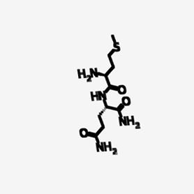 CSCC[C@H](N)C(=O)N[C@@H](CCC(N)=O)C(N)=O